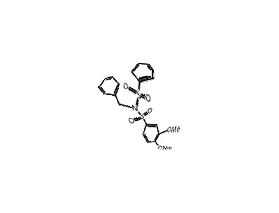 COc1ccc(S(=O)(=O)N(Cc2ccccc2)S(=O)(=O)c2ccccc2)cc1OC